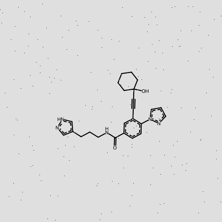 O=C(NCCCc1cn[nH]c1)c1ccc(-n2cccn2)c(C#CC2(O)CCCCC2)c1